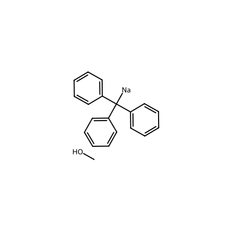 CO.[Na][C](c1ccccc1)(c1ccccc1)c1ccccc1